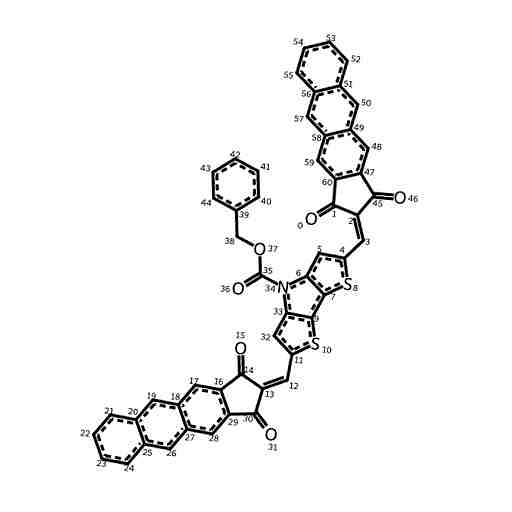 O=C1C(=Cc2cc3c(s2)c2sc(C=C4C(=O)c5cc6cc7ccccc7cc6cc5C4=O)cc2n3C(=O)OCc2ccccc2)C(=O)c2cc3cc4ccccc4cc3cc21